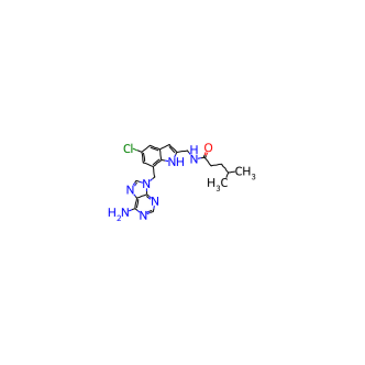 CC(C)CCC(=O)NCc1cc2cc(Cl)cc(Cn3cnc4c(N)ncnc43)c2[nH]1